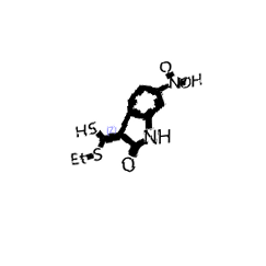 CCS/C(S)=C1\C(=O)Nc2cc([N+](=O)O)ccc21